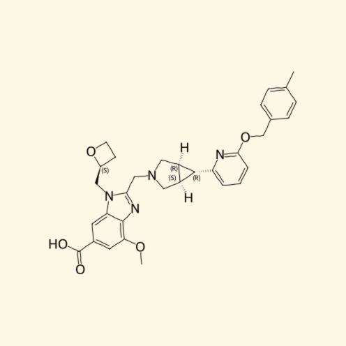 COc1cc(C(=O)O)cc2c1nc(CN1C[C@@H]3[C@H](C1)[C@H]3c1cccc(OCc3ccc(C)cc3)n1)n2C[C@@H]1CCO1